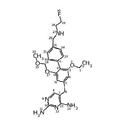 CCOc1cc(Cc2cnc(N)nc2N)cc(OCOC)c1-c1ccc(CNCCF)cc1